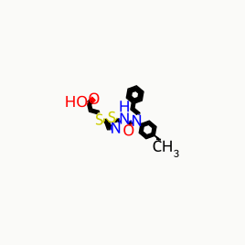 CC[C@H]1CC[C@H](N(CCc2ccccc2)C(=O)Nc2ncc(SCCC(=O)O)s2)CC1